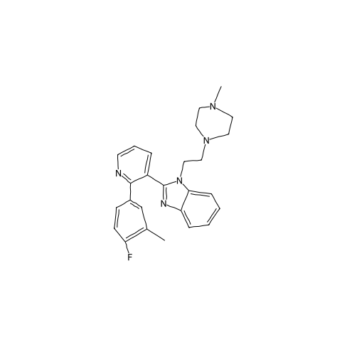 Cc1cc(-c2ncccc2-c2nc3ccccc3n2CCN2CCN(C)CC2)ccc1F